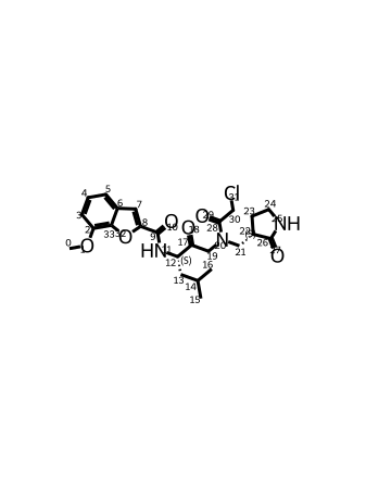 COc1cccc2cc(C(=O)N[C@@H](CC(C)C)C(=O)CN(C[C@@H]3CCNC3=O)C(=O)CCl)oc12